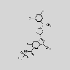 Cc1nn([C@@H]2CCN([C@@H](C)c3cc(Cl)cc(Cl)c3)C2)c2cc(F)c(C(=O)NS(C)(=O)=O)cc12